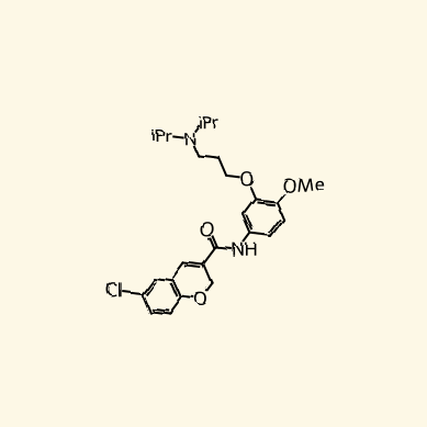 COc1ccc(NC(=O)C2=Cc3cc(Cl)ccc3OC2)cc1OCCCN(C(C)C)C(C)C